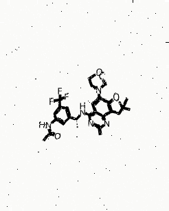 CC(=O)Nc1cc([C@@H](C)Nc2nc(C)nc3c4c(c(N5CCOCC5)cc23)OC(C)(C)C4)cc(C(F)(F)F)c1